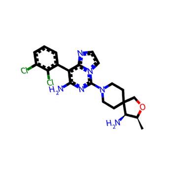 C[C@@H]1OCC2(CCN(c3nc(N)c(-c4cccc(Cl)c4Cl)c4nccn34)CC2)[C@@H]1N